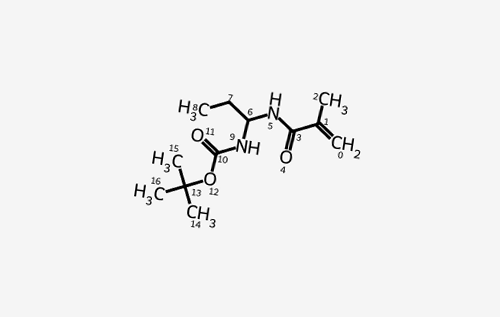 C=C(C)C(=O)NC(CC)NC(=O)OC(C)(C)C